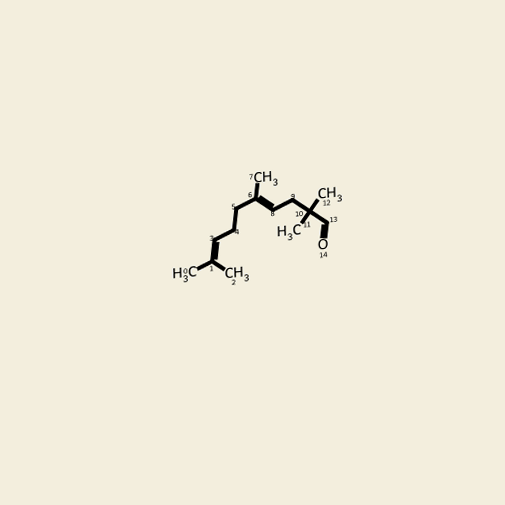 CC(C)=CCCC(C)=CCC(C)(C)C=O